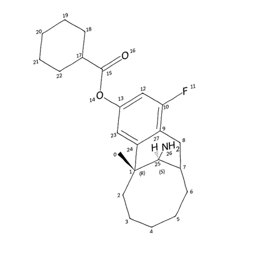 C[C@@]12CCCCCC(Cc3c(F)cc(OC(=O)C4CCCCC4)cc31)[C@@H]2N